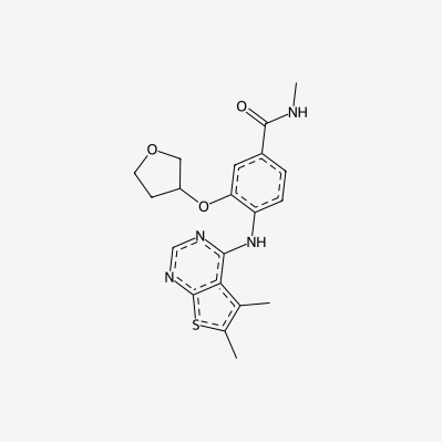 CNC(=O)c1ccc(Nc2ncnc3sc(C)c(C)c23)c(OC2CCOC2)c1